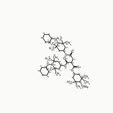 CON1C(C)(C)CC(OC(=O)C(CC(=O)OC2CC(C)(C)N(OC3CCCCC3)C(C)(C)C2)C(=O)OC2CC(C)(C)N(OC3CCCCC3)C(C)(C)C2)CC1(C)C